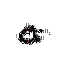 NCCOCCNC(=O)C1CCCN(C(=O)c2cccc(=O)n2O)CCCNC(=O)c2ccc(n(O)c2=O)C(=O)N[C@@H]2COC[C@@H]2NC(=O)c2ccc(c(=O)n2O)C(=O)NCCCN1C(=O)c1cccc(=O)n1O